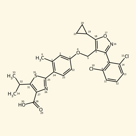 Cc1cc(OCc2c(-c3c(Cl)cccc3Cl)noc2C2CC2)ccc1-c1nc(C(=O)O)c(C(C)C)s1